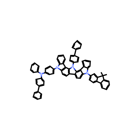 CC1(C)c2ccccc2-c2ccc(-n3c4ccccc4c4c3ccc3c5ccc6c(c7ccccc7n6-c6ccc(N(c7ccccc7)c7ccc(-c8ccccc8)cc7)cc6)c5n(-c5ccc(-c6ccccc6)cc5)c34)cc21